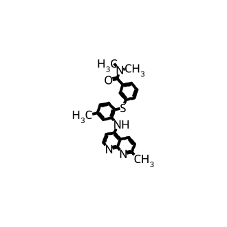 Cc1ccc(Sc2cccc(C(=O)N(C)C)c2)c(Nc2ccnc3nc(C)ccc23)c1